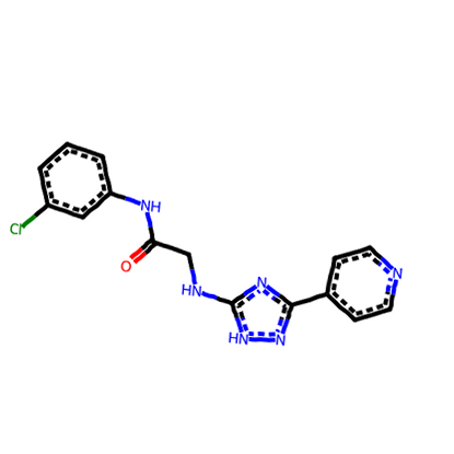 O=C(CNc1nc(-c2ccncc2)n[nH]1)Nc1cccc(Cl)c1